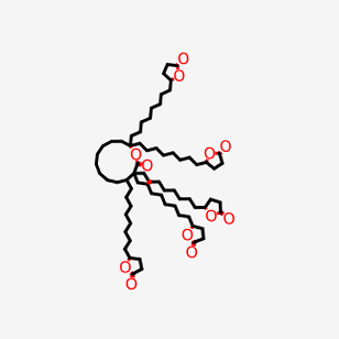 O=C1CCC(CCCCCCCCC2CCCCCCCCC(CCCCCCCCC3CCC(=O)O3)(CCCCCCCCC3CCC(=O)O3)OC(=O)C2(CCCCCCCCC2CCC(=O)O2)CCCCCCCCC2CCC(=O)O2)O1